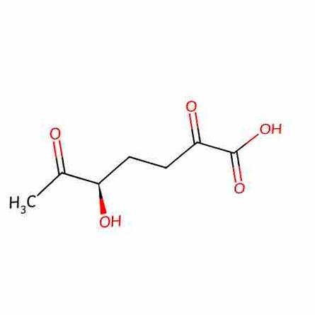 CC(=O)[C@H](O)CCC(=O)C(=O)O